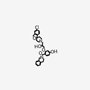 O=C(c1ccc(O)cc1OC[C@H](O)CN1CCC2(CC1)OCc1cc(Cl)ccc12)N1CCc2ccccc2C1